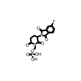 O=C1CCC(N2C(=O)c3ccc(F)cc3C2=O)C(=O)N1COP(=O)(O)O